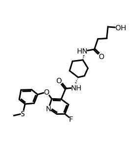 CSc1cccc(Oc2ncc(F)cc2C(=O)N[C@H]2CC[C@@H](NC(=O)CCCO)CC2)c1